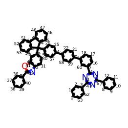 c1ccc(-c2nc(-c3ccccc3)nc(-c3cccc(-c4ccc(-c5ccc(C6(c7ccc8nc(-c9ccccc9)oc8c7)c7ccccc7-c7ccccc76)cc5)cc4)c3)n2)cc1